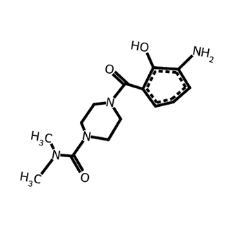 CN(C)C(=O)N1CCN(C(=O)c2cccc(N)c2O)CC1